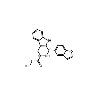 COC(=O)[C@H]1Cc2c([nH]c3ccccc23)[C@H](c2ccc3occc3c2)N1